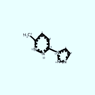 Cc1ccc(-n2ccnn2)nn1